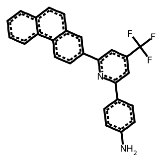 Nc1ccc(-c2cc(C(F)(F)F)cc(-c3ccc4c(ccc5ccccc54)c3)n2)cc1